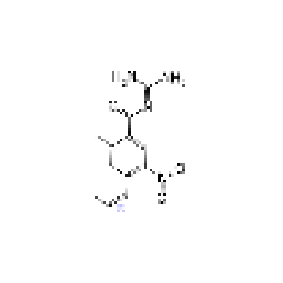 C/C=C\c1cc(C)c(C(=O)N=C(N)N)cc1[N+](=O)[O-]